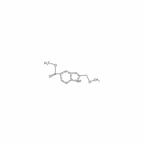 COCc1cc2cc(C(=O)OC)ccc2[nH]1